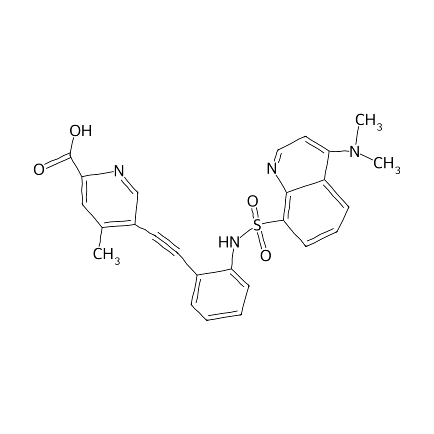 Cc1cc(C(=O)O)ncc1C#Cc1ccccc1NS(=O)(=O)c1cccc2c(N(C)C)ccnc12